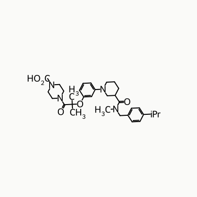 CC(C)c1ccc(CN(C)C(=O)C2CCCN(c3cccc(OC(C)(C)C(=O)N4CCN(C(=O)O)CC4)c3)C2)cc1